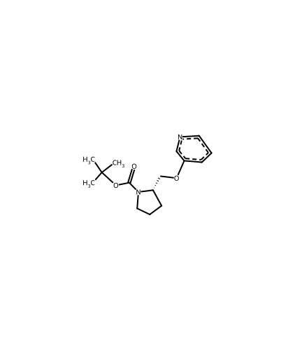 CC(C)(C)OC(=O)N1CCC[C@H]1COc1cccnc1